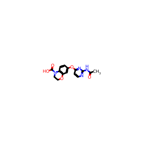 CC(=O)Nc1nccc(Oc2ccc3c(c2)OCCN3C(=O)O)n1